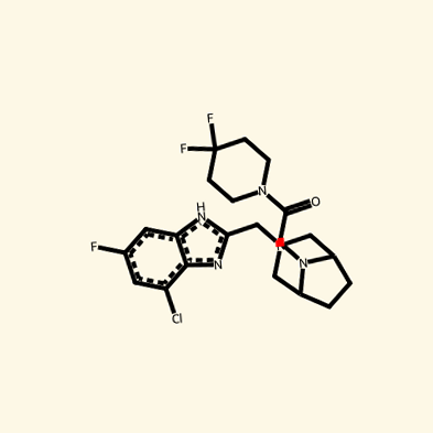 O=C(CN1C2CCC1CN(Cc1nc3c(Cl)cc(F)cc3[nH]1)C2)N1CCC(F)(F)CC1